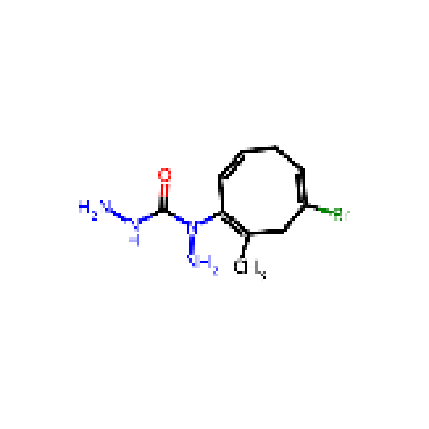 C/C1=C(N(N)C(=O)NN)/C=C\C/C=C(/Br)C1